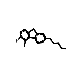 CCCCCc1ccc2c(c1)Cc1ccc(F)c(F)c1-2